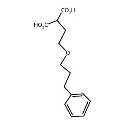 O=C(O)C(CCOCCCc1ccccc1)C(=O)O